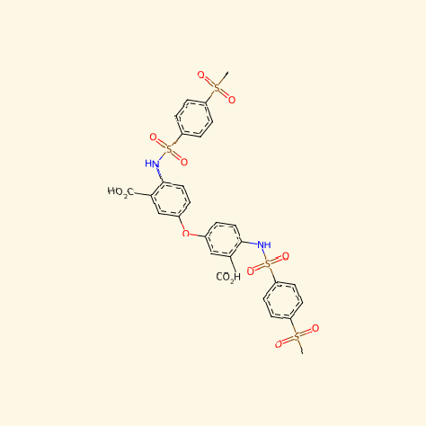 CS(=O)(=O)c1ccc(S(=O)(=O)Nc2ccc(Oc3ccc(NS(=O)(=O)c4ccc(S(C)(=O)=O)cc4)c(C(=O)O)c3)cc2C(=O)O)cc1